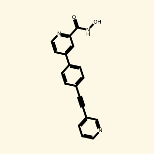 O=C(NO)c1cc(-c2ccc(C#Cc3cccnc3)cc2)ccn1